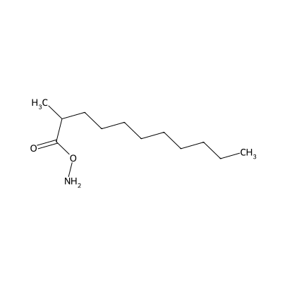 CCCCCCCCCC(C)C(=O)ON